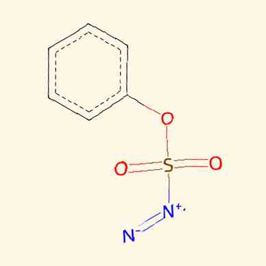 [N-]=[N+]S(=O)(=O)Oc1ccccc1